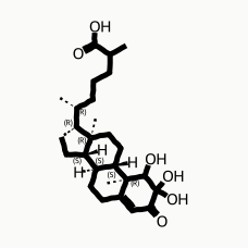 CC(CCC[C@@H](C)[C@H]1CC[C@H]2[C@@H]3CCC4=CC(=O)C(O)(O)C(O)[C@]4(C)[C@H]3CC[C@]12C)C(=O)O